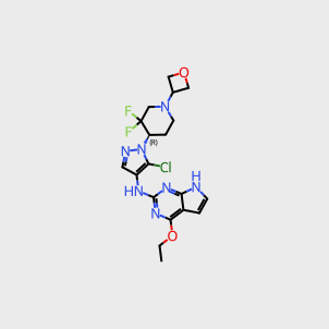 CCOc1nc(Nc2cnn([C@@H]3CCN(C4COC4)CC3(F)F)c2Cl)nc2[nH]ccc12